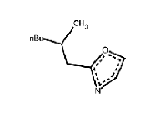 CCCCC(C)Cc1ncco1